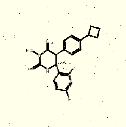 C=C1[C@@H](c2ccc(C3CCC3)cc2)[C@@](C)(c2ccc(F)cc2F)NC(=N)N1C